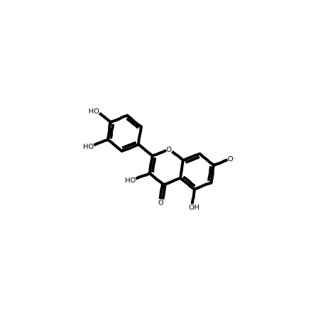 [O]c1cc(O)c2c(=O)c(O)c(-c3ccc(O)c(O)c3)oc2c1